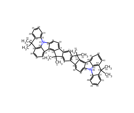 CC1(C)c2cc3c(cc2-c2ccc4c(c21)c1cccc2c1n4-c1ccccc1C2(C)C)C(C)(C)c1c-3ccc2c1c1cccc3c1n2-c1ccccc1C3(C)C